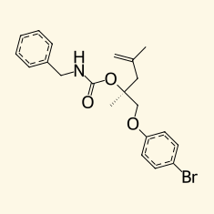 C=C(C)C[C@@](C)(COc1ccc(Br)cc1)OC(=O)NCc1ccccc1